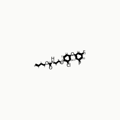 C=CCCOC(=O)NCCOc1ccc(Oc2cc(F)cc(F)c2)cc1Cl